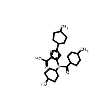 CC1CCC(C(=O)N(c2cc(C3CCC(C)CC3)sc2C(=O)O)C2CCC(O)CC2)CC1